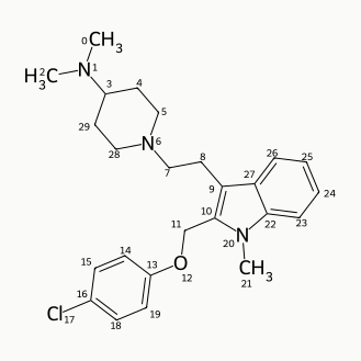 CN(C)C1CCN(CCc2c(COc3ccc(Cl)cc3)n(C)c3ccccc23)CC1